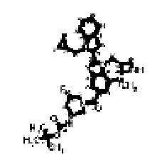 COc1cc(C(=O)N2C[C@@H](F)C[C@@H](NC(=O)OC(C)(C)C)C2)cc2nc(-c3cc4ccccc4n3CC3CC3)n(CC3CNC3)c12